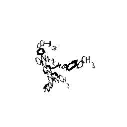 COc1ccc(CNC(=O)CC2CN(C(=O)Nc3ccc(OC)cc3)CCN2c2cc(C)nc(-n3ccnc3)n2)cc1